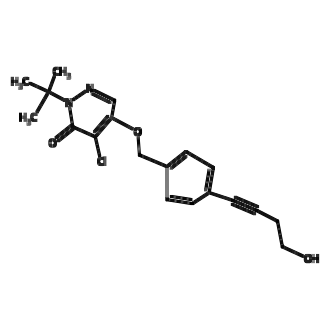 CC(C)(C)n1ncc(OCc2ccc(C#CCCO)cc2)c(Cl)c1=O